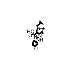 FC(F)(F)c1nc(Nc2cccc(Cl)c2)ncc1CNCC1CC1.O=CO